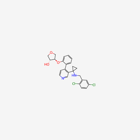 O[C@@H]1COC[C@H]1Oc1ccccc1-c1ccncc1C1(NCc2cc(Cl)ccc2Cl)CC1